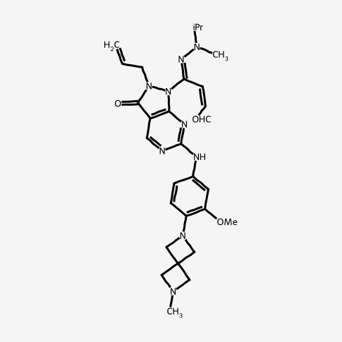 C=CCn1c(=O)c2cnc(Nc3ccc(N4CC5(CN(C)C5)C4)c(OC)c3)nc2n1C(/C=C\C=O)=N/N(C)C(C)C